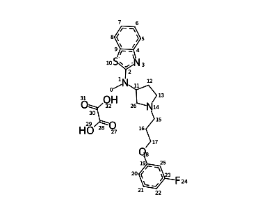 CN(c1nc2ccccc2s1)C1CCN(CCCOc2cccc(F)c2)C1.O=C(O)C(=O)O